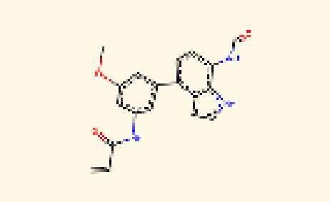 C=CC(=O)Nc1cc(OC)cc(-c2ccc(NC=O)c3[nH]ccc23)c1